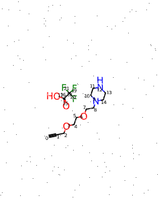 C#CCOCCOCCN1CCNCC1.O=C(O)C(F)(F)F